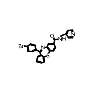 O=C(NCc1ccncc1)c1ccc2c(c1)N=C(c1ccc(Br)cc1)c1ccccc1S2